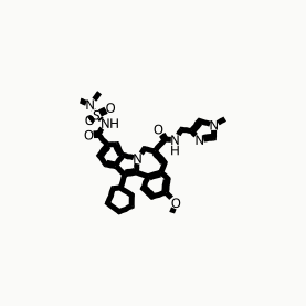 COc1ccc2c(c1)C=C(C(=O)NCc1cn(C)cn1)Cn1c-2c(C2CCCCC2)c2ccc(C(=O)NS(=O)(=O)N(C)C)cc21